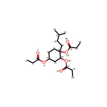 CCC(=O)OC1CCC(CCC(C)C)(OC(=O)CC)C(OC(=O)CC)C1